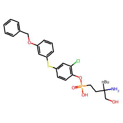 CCCCC(N)(CO)CCP(=O)(O)Oc1ccc(Sc2cccc(OCc3ccccc3)c2)cc1Cl